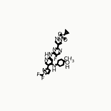 CC1(O)CCC(Nc2cc(Nc3nc(-c4cnn(S(=O)(=O)C5CC5)c4)ncc3F)ncc2-c2ccn(C(F)F)n2)CC1